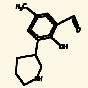 Cc1cc(C=O)c(O)c(C2CCCNC2)c1